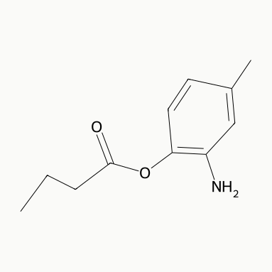 CCCC(=O)Oc1ccc(C)cc1N